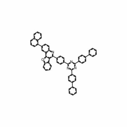 c1ccc(-c2ccc(-c3nc(-c4ccc(-c5ccccc5)cc4)nc(-c4ccc(-c5nc6ccc(-c7cccc8ccccc78)cc6c6oc7ccccc7c56)cc4)n3)cc2)cc1